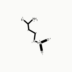 CCC(N)CCO[SH](=O)=O